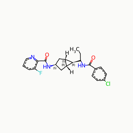 CCC(NC(=O)c1ccc(Cl)cc1)[C@H]1[C@@H]2C[C@@H](NC(=O)c3ncccc3F)C[C@@H]21